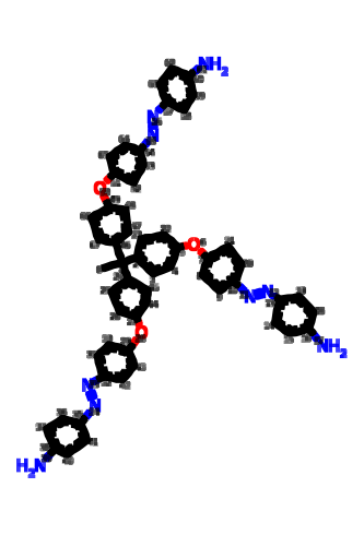 CC(c1ccc(Oc2ccc(/N=N/c3ccc(N)cc3)cc2)cc1)(c1ccc(Oc2ccc(/N=N/c3ccc(N)cc3)cc2)cc1)c1ccc(Oc2ccc(/N=N/c3ccc(N)cc3)cc2)cc1